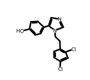 Oc1ccc(-c2cncn2CCc2ccc(Cl)cc2Cl)cc1